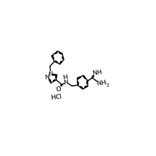 Cl.N=C(N)c1ccc(CNC(=O)c2cnn(Cc3ccccc3)c2)cc1